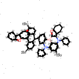 CC(C)(C)c1ccc(C(c2ccc3c(c2)N(c2ccccc2)c2cc(C(C)(C)C)cc4c2B3c2oc3c(c2N4c2ccccc2)CCCC3)c2ccc(C(C)(C)C)cc2-c2cccc3c2oc2ccccc23)cc1